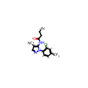 CC(=O)CCC(=O)Nc1c(C#N)cnn1-c1ccc(C(F)(F)F)cc1Cl